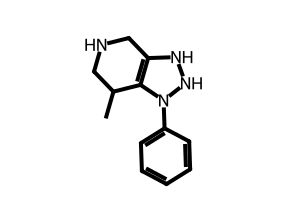 CC1CNCC2=C1N(c1ccccc1)NN2